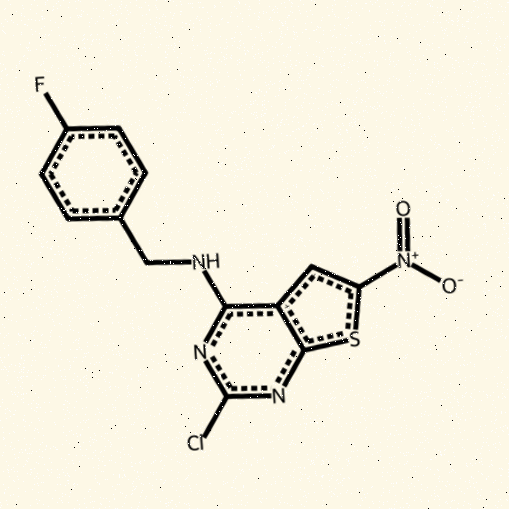 O=[N+]([O-])c1cc2c(NCc3ccc(F)cc3)nc(Cl)nc2s1